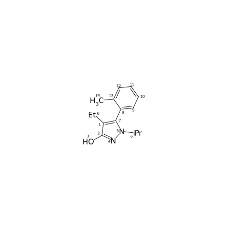 CCc1c(O)nn(C(C)C)c1-c1ccccc1C